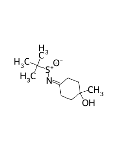 CC1(O)CCC(=N[S@@+]([O-])C(C)(C)C)CC1